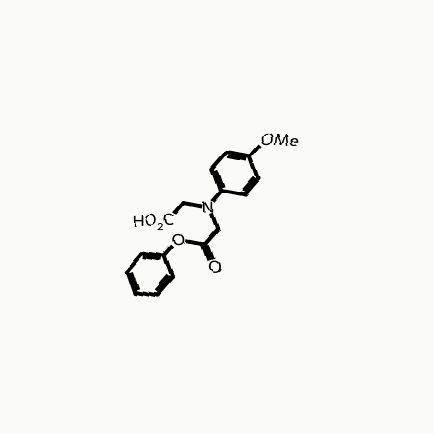 COc1ccc(N(CC(=O)O)CC(=O)Oc2ccccc2)cc1